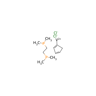 CP(C)CCP(C)C.[Cl-].[Cl-].[V+2][C]1=CC=CC1